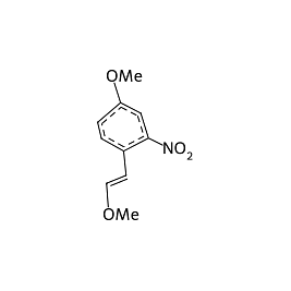 COC=Cc1ccc(OC)cc1[N+](=O)[O-]